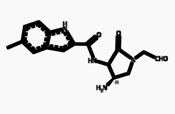 Cc1ccc2[nH]c(C(=O)NC3C(=O)N(CC=O)C[C@H]3N)cc2c1